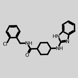 O=C(NCc1ccccc1Cl)C1CCC(Nc2nc3ccccc3[nH]2)CC1